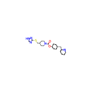 O=C(Oc1ccc(Cc2ccccn2)cc1)N1CCC(CSc2nc[nH]n2)CC1